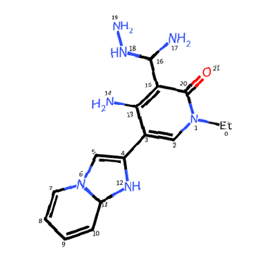 CCn1cc(C2=CN3C=CC=CC3N2)c(N)c(C(N)NN)c1=O